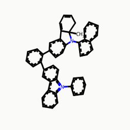 CC12CC=CC=C1c1cc(-c3ccccc3-c3ccc4c(c3)c3ccccc3n4-c3ccccc3)ccc1N2c1cccc2ccccc12